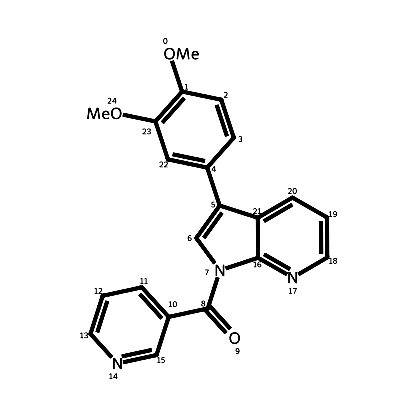 COc1ccc(-c2cn(C(=O)c3cccnc3)c3ncccc23)cc1OC